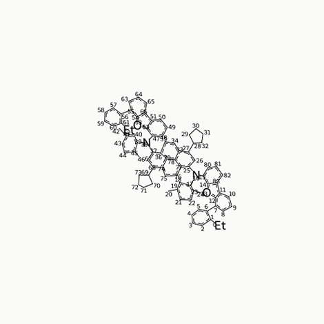 CCc1ccccc1-c1cccc2c1oc1c(N(c3cc(C)ccc3C)c3cc(C4CCCC4)c4ccc5c(N(c6cc(C)ccc6C)c6cccc7c6oc6c(-c8ccccc8CC)cccc67)cc(C6CCCC6)c6ccc3c4c65)cccc12